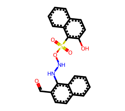 O=Cc1ccc2ccccc2c1NNOS(=O)(=O)c1c(O)ccc2ccccc12